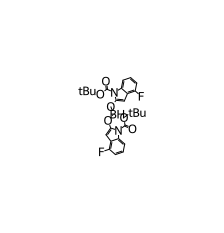 CC(C)(C)OC(=O)n1c(OBOc2cc3c(F)cccc3n2C(=O)OC(C)(C)C)cc2c(F)cccc21